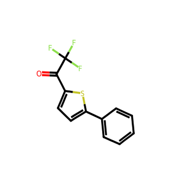 O=C(c1ccc(-c2ccccc2)s1)C(F)(F)F